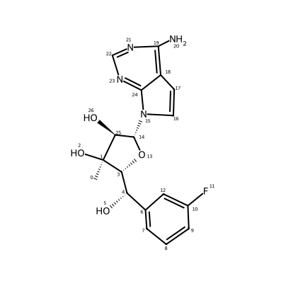 C[C@@]1(O)[C@@H]([C@@H](O)c2cccc(F)c2)O[C@@H](n2ccc3c(N)ncnc32)[C@@H]1O